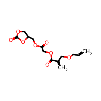 C=CCOCC(=C)C(=O)OCC(=O)OCC1COC(=O)O1